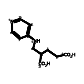 O=C(O)CCC(CNc1ccncc1)C(=O)O